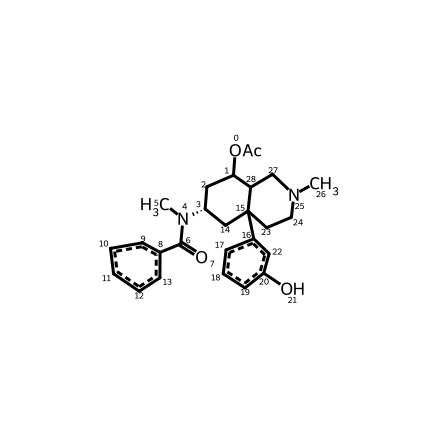 CC(=O)OC1C[C@@H](N(C)C(=O)c2ccccc2)CC2(c3cccc(O)c3)CCN(C)CC12